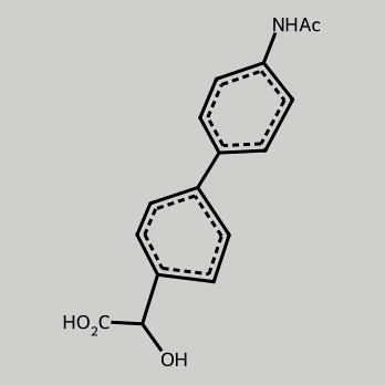 CC(=O)Nc1ccc(-c2ccc(C(O)C(=O)O)cc2)cc1